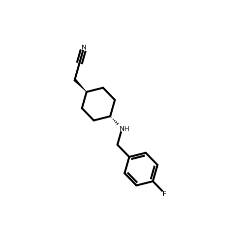 N#CC[C@H]1CC[C@H](NCc2ccc(F)cc2)CC1